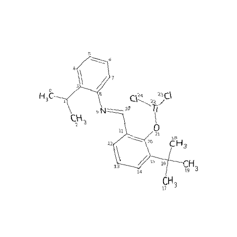 CC(C)c1ccccc1N=Cc1cccc(C(C)(C)C)c1[O][Ti]([Cl])[Cl]